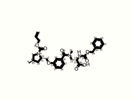 C=CCOC(=O)N1C[C@H](C)C[C@H]1COc1cccc(C(=O)N(C)C[C@H](NC(=O)OCc2ccccc2)C(=O)O)c1